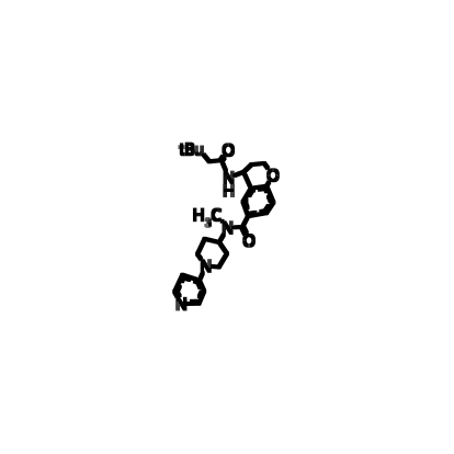 CN(C(=O)c1ccc2c(c1)C(NC(=O)CC(C)(C)C)CCO2)C1CCN(c2ccncc2)CC1